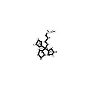 [SnH][CH2]CCCC(C1CCCC1)(C1CCCC1)C1CCCC1